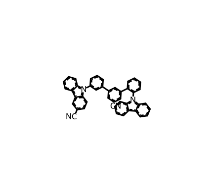 N#Cc1cc(-c2cccc(-n3c4ccccc4c4cc(C#N)ccc43)c2)cc(-c2ccccc2-n2c3ccccc3c3ccccc32)c1